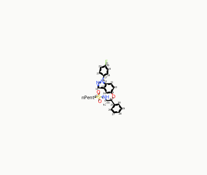 CCCCCS(=O)(=O)N[C@@H](C)[C@H](Oc1ccc2c(cnn2-c2ccc(F)cc2)c1)c1ccccc1